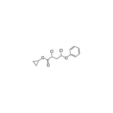 O=C(OC1CC1)C(Cl)CC(Cl)Oc1ccccc1